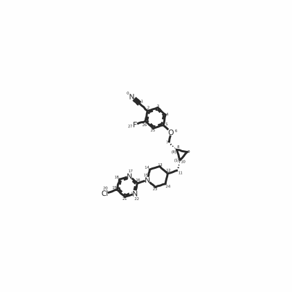 N#Cc1ccc(OC[C@@H]2C[C@@H]2CC2CCN(c3ncc(Cl)cn3)CC2)cc1F